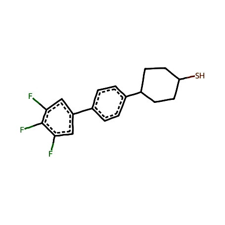 Fc1cc(-c2ccc(C3CCC(S)CC3)cc2)cc(F)c1F